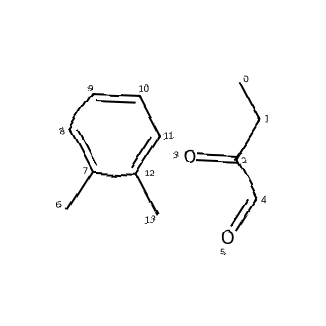 CCC(=O)C=O.Cc1ccccc1C